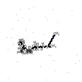 C=C/C=C/CCCCCC(CC)SCCNC(=O)CCNC(=O)[C@H](O)C(C)(C)COP(=O)(O)OP(=O)(O)OC[C@H]1O[C@@H](n2cnc3c(N)ncnc32)[C@H](O)[C@@H]1OP(=O)(O)O